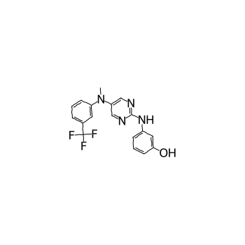 CN(c1cnc(Nc2cccc(O)c2)nc1)c1cccc(C(F)(F)F)c1